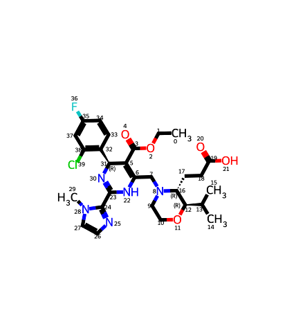 CCOC(=O)C1=C(CN2CCO[C@H](C(C)C)[C@H]2CCC(=O)O)NC(c2nccn2C)=N[C@H]1c1ccc(F)cc1Cl